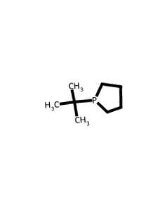 CC(C)(C)P1CCCC1